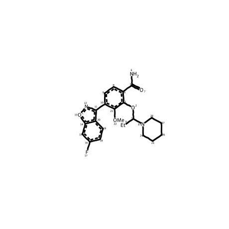 CCC(Oc1c(C(N)=O)ccc(-c2noc3cc(F)ccc23)c1OC)N1CCCCC1